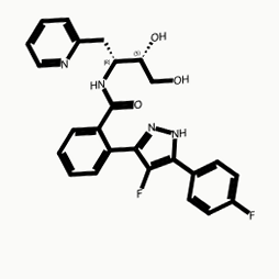 O=C(N[C@H](Cc1ccccn1)[C@H](O)CO)c1ccccc1-c1n[nH]c(-c2ccc(F)cc2)c1F